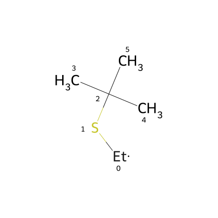 C[CH]SC(C)(C)C